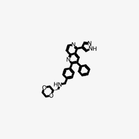 c1ccc(-c2cc3c(-c4cn[nH]c4)nccc3nc2-c2ccc(CNC[C@H]3COCCO3)cc2)cc1